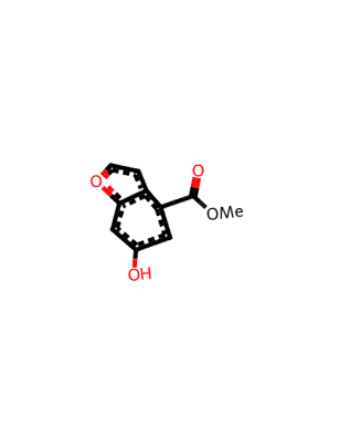 COC(=O)c1cc(O)cc2occc12